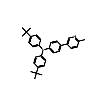 Cc1ccc(-c2ccc(N(c3ccc(C(C)(C)C)cc3)c3ccc(C(C)(C)C)cc3)cc2)cn1